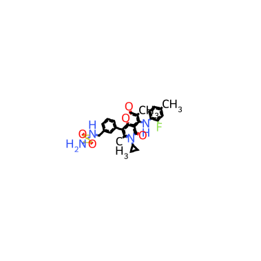 Cc1ccc(Nc2c(C)c(=O)oc3c(-c4cccc(CNS(N)(=O)=O)c4)c(C)n(C4CC4)c(=O)c23)c(F)c1